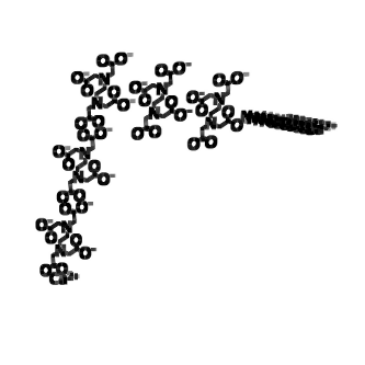 O=C([O-])CN(CCN(CC(=O)[O-])CC(=O)[O-])CC(=O)[O-].O=C([O-])CN(CCN(CC(=O)[O-])CC(=O)[O-])CC(=O)[O-].O=C([O-])CN(CCN(CC(=O)[O-])CC(=O)[O-])CC(=O)[O-].O=C([O-])CN(CCN(CC(=O)[O-])CC(=O)[O-])CC(=O)[O-].O=C([O-])CN(CCN(CC(=O)[O-])CC(=O)[O-])CC(=O)[O-].[Ca+2].[Ca+2].[Ca+2].[Ca+2].[Ca+2].[Ca+2].[Ca+2].[Ca+2].[Na+].[Na+].[Na+].[Na+]